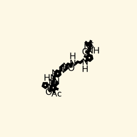 CC(=O)c1c(C)c2cnc(Nc3ccc(N4CCN(CC(=O)NCCCCNc5cccc(C(=O)Nc6nc(C)c(C)s6)c5C)CC4)cn3)nc2n(C2CCCC2)c1=O